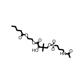 CCCCC(=O)OCCOC(=O)[C@H](O)C(C)(C)COS(=O)(=O)CCCNC(C)=O